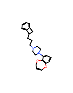 C1=COc2cccc(N3CCN(CCCC4Cc5ccccc54)CC3)c2OC1